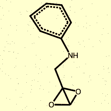 c1ccc(NCC23OC2O3)cc1